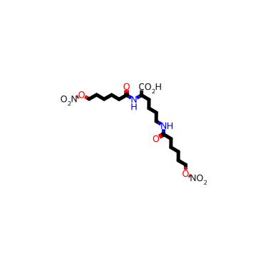 O=C(CCCCCO[N+](=O)[O-])NCCCCC(NC(=O)CCCCCO[N+](=O)[O-])C(=O)O